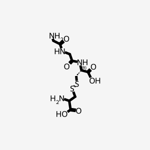 NCC(=O)NCC(=O)N[C@@H](CSSCC(N)C(=O)O)C(=O)O